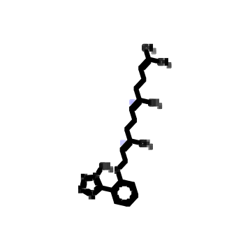 CC(C)=CCC/C(C)=C/CC/C(C)=C/CSc1ccccc1-c1nnnn1C